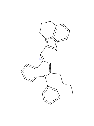 CCCCC1=C/C(=C\c2sc3cccc4c3[n+]2CCC4)c2ccccc2N1c1ccccc1